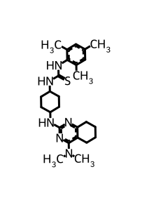 Cc1cc(C)c(NC(=S)NC2CCC(Nc3nc4c(c(N(C)C)n3)CCCC4)CC2)c(C)c1